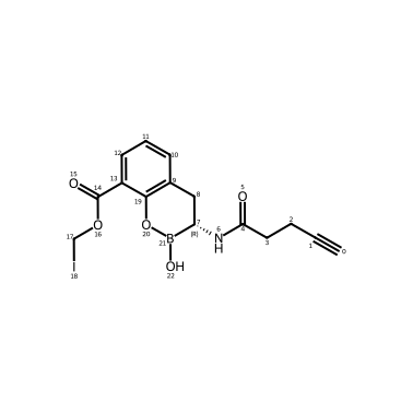 C#CCCC(=O)N[C@H]1Cc2cccc(C(=O)OCI)c2OB1O